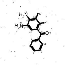 Cc1c(C(=O)c2ccccc2)cc(N)c(N)c1C